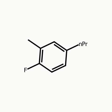 CCCc1ccc(F)c(C)c1